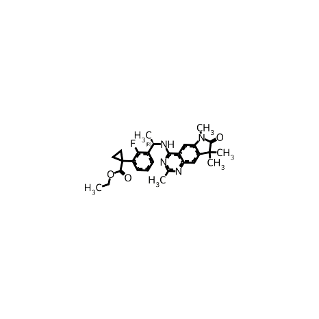 CCOC(=O)C1(c2cccc([C@@H](C)Nc3nc(C)nc4cc5c(cc34)N(C)C(=O)C5(C)C)c2F)CC1